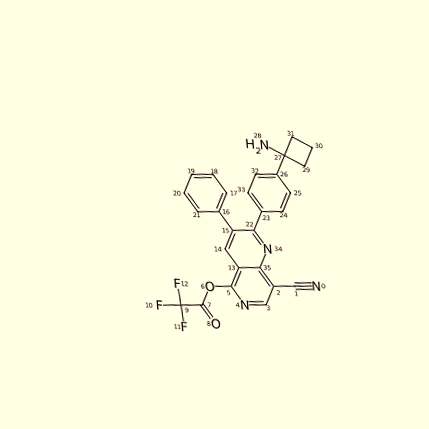 N#Cc1cnc(OC(=O)C(F)(F)F)c2cc(-c3ccccc3)c(-c3ccc(C4(N)CCC4)cc3)nc12